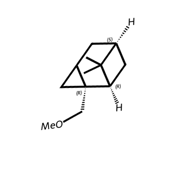 COC[C@]12CC1C[C@H]1C[C@@H]2C1(C)C